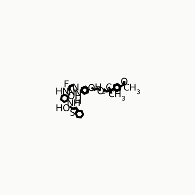 CC(=O)c1ccc(C(C)(C)CCOCCOc2ccc(Nc3ncc(F)c(NC4CCCC(NC(O)c5cc6c(s5)CCCC6)C4O)n3)cc2)cc1